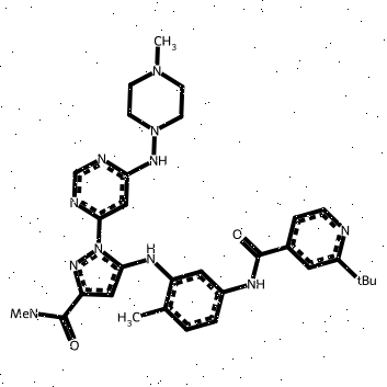 CNC(=O)c1cc(Nc2cc(NC(=O)c3ccnc(C(C)(C)C)c3)ccc2C)n(-c2cc(NN3CCN(C)CC3)ncn2)n1